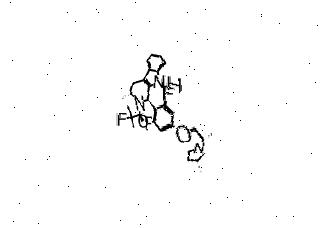 C[C@@H]1CCN([C@@H](C)COc2cc(F)c([C@@H]3c4[nH]c5ccccc5c4C[C@@H](C)N3C(=O)C(C)(C)F)c(F)c2)C1